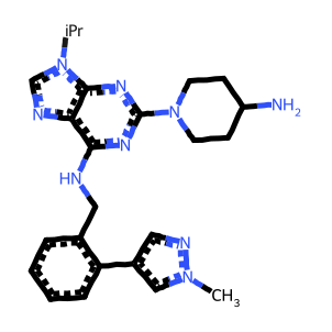 CC(C)n1cnc2c(NCc3ccccc3-c3cnn(C)c3)nc(N3CCC(N)CC3)nc21